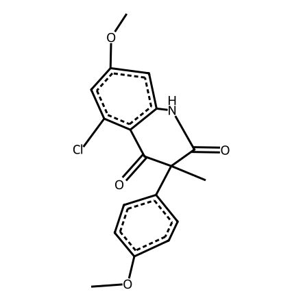 COc1ccc(C2(C)C(=O)Nc3cc(OC)cc(Cl)c3C2=O)cc1